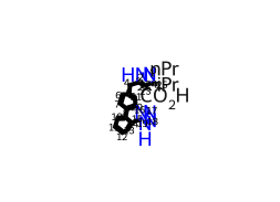 CCCN1NC(Cc2ccc(-c3ccccc3-c3nnn[nH]3)cc2)=C(C(=O)O)C1C(C)C